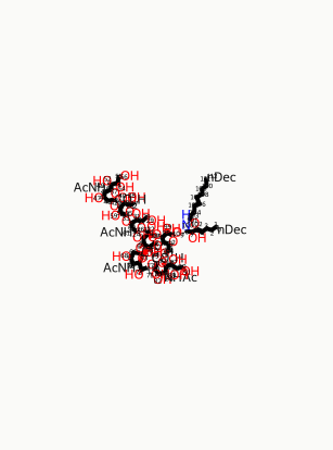 CCCCCCCCCCCCC/C=C/[C@@H](O)[C@H](CO[C@@H]1OC(CO)[C@@H](O[C@@H]2OC(CO)[C@H](O[C@@H]3OC(CO)[C@H](O)[C@H](O[C@@H]4OC(CO)[C@H](O)[C@H](O[C@]5(C(=O)O)CC(O)[C@@H](NC(C)=O)C([C@H](O)[C@H](O)CO)O5)C4O)C3NC(C)=O)[C@H](O[C@]3(C(=O)O)CC(O)[C@@H](NC(C)=O)C([C@H](O)[C@@H](CO)O[C@]4(C(=O)O)CC(O)[C@@H](NC(C)=O)C([C@H](O)[C@H](O)CO)O4)O3)C2O)[C@H](O)C1O)NC(=O)CCCCCCCCCCCCCCCCCCC